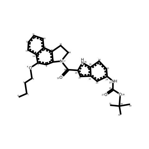 CCCCOc1cc2c(c3ccccc13)CCN2C(=O)c1cc2cc(NC(=O)OC(C)(C)C)ccc2[nH]1